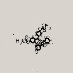 CC(=O)Oc1ccc(C(=O)c2ccc(OC(C)=O)cc2O)cc1.c1ccc2oc(-c3ccc4c(c3)O4)nc2c1